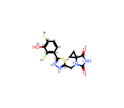 O=C1NC(=O)C2(CC2)N1Cc1nnc(-c2ccc(F)c(O)c2F)s1